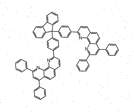 c1ccc(-c2cc(-c3ccccc3)c3ccc4ccc(-c5ccc(C6(c7ccc(-c8ccc9ccc%10c(-c%11ccccc%11)cc(-c%11ccccc%11)nc%10c9n8)cc7)c7ccccc7-c7ccccc76)cc5)nc4c3n2)cc1